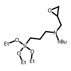 CCCCN(CCC[Si](OCC)(OCC)OCC)CC1CO1